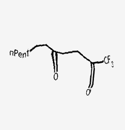 CCCCCCC(=O)CC(=O)C(F)(F)F